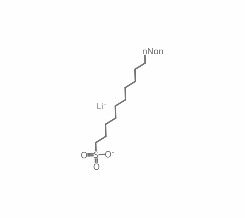 CCCCCCCCCCCCCCCCCCCS(=O)(=O)[O-].[Li+]